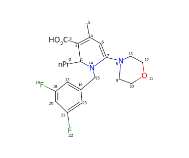 CCCC1C(C(=O)O)=C(C)C=C(N2CCOCC2)N1Cc1cc(F)cc(F)c1